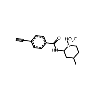 C#Cc1ccc(C(=O)NC2CC(C)CCN2C(=O)O)cc1